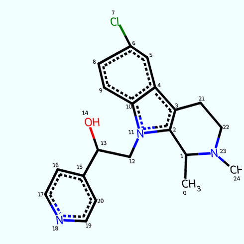 CC1c2c(c3cc(Cl)ccc3n2CC(O)c2ccncc2)CCN1C